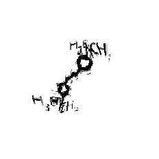 CN(C)c1ccc(C=CC=Cc2ccc(N(C)C)cc2)cc1